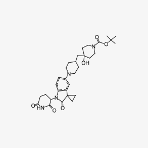 CC(C)(C)OC(=O)N1CCC(O)(CC2CCN(c3ccc4c(c3)C3(CC3)C(=O)N4C3CCC(=O)NC3=O)CC2)CC1